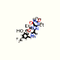 CCCn1c(=O)c2c(nc(-c3cnn(Cc4cccc(C(F)(F)F)c4)c3)n2C(CC)OC(=O)O)n(CC)c1=O